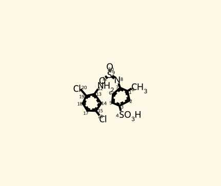 Cc1cc(S(=O)(=O)O)ccc1N=S(=O)=O.Nc1cc(Cl)ccc1Cl